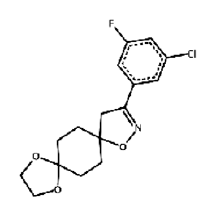 Fc1cc(Cl)cc(C2=NOC3(CCC4(CC3)OCCO4)C2)c1